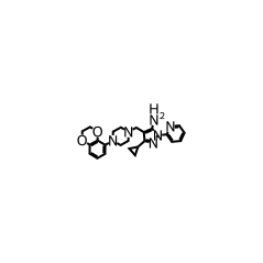 Nc1c(CN2CCN(c3cccc4c3OCCO4)CC2)c(C2CC2)nn1-c1ccccn1